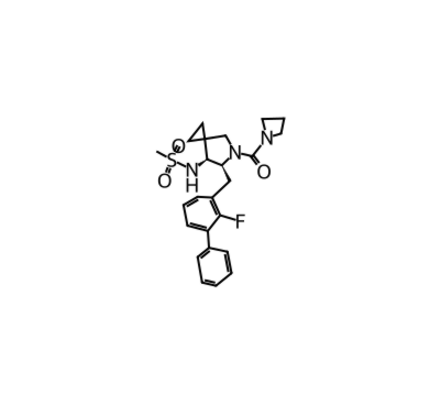 CS(=O)(=O)N[C@@H]1[C@H](Cc2cccc(-c3ccccc3)c2F)N(C(=O)N2CCC2)CC12CC2